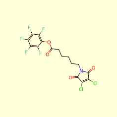 O=C(CCCCCN1C(=O)C(Cl)=C(Cl)C1=O)Oc1c(F)c(F)c(F)c(F)c1F